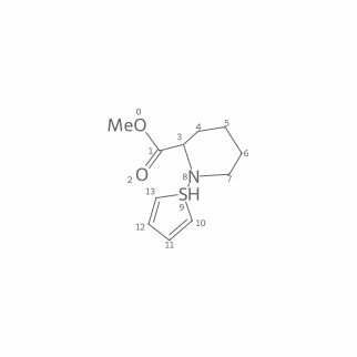 COC(=O)C1CCCCN1[SH]1C=CC=C1